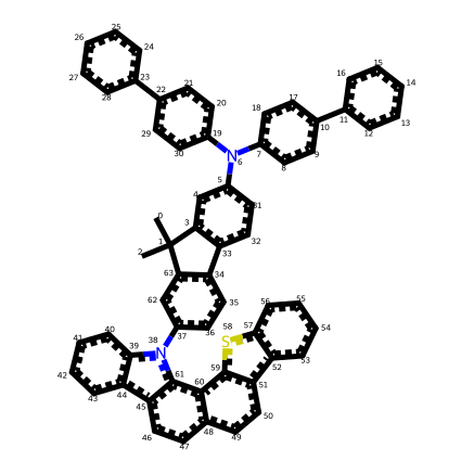 CC1(C)c2cc(N(c3ccc(-c4ccccc4)cc3)c3ccc(-c4ccccc4)cc3)ccc2-c2ccc(-n3c4ccccc4c4ccc5ccc6c7ccccc7sc6c5c43)cc21